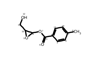 Cc1ccc(C(=O)OC2OC2CO)cc1